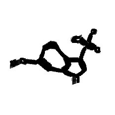 COc1ccc2c(S(=O)(=O)Cl)c[nH]c2c1